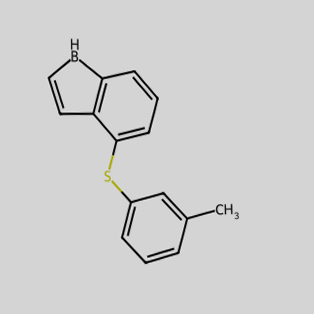 Cc1cccc(Sc2cccc3c2C=CB3)c1